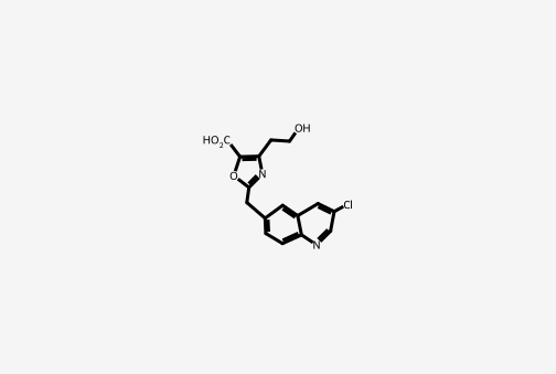 O=C(O)c1oc(Cc2ccc3ncc(Cl)cc3c2)nc1CCO